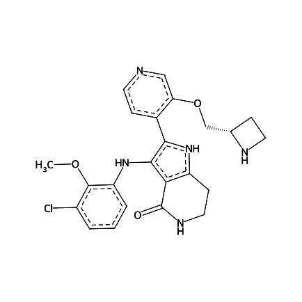 COc1c(Cl)cccc1Nc1c(-c2ccncc2OC[C@@H]2CCN2)[nH]c2c1C(=O)NCC2